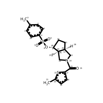 Cc1ccc(S(=O)(=O)O[C@@H]2CC[C@H]3CN(C(=O)c4ccc(C)s4)C[C@]32F)cc1